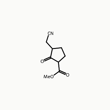 COC(=O)C1CCC(CC#N)C1=O